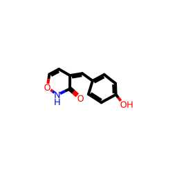 O=C1NOC=CC1=Cc1ccc(O)cc1